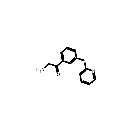 NCC(=O)c1cccc(Sc2ccccn2)c1